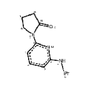 CC(C)Nc1cccc(N2CCCC2=O)n1